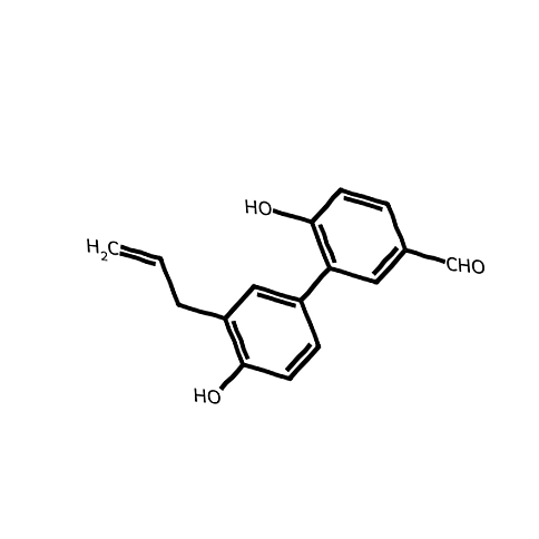 C=CCc1cc(-c2cc(C=O)ccc2O)ccc1O